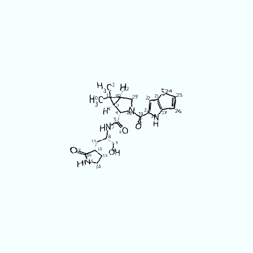 CC1(C)[C@@H]2[C@@H](C(=O)N[C@H](CO)C[C@@H]3CCNC3=O)N(C(=O)c3cc4sccc4[nH]3)C[C@@H]21